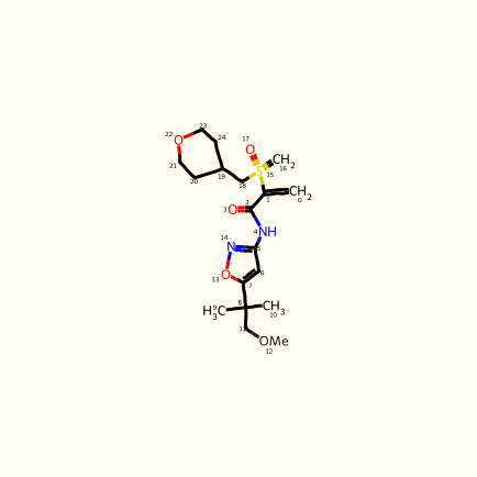 C=C(C(=O)Nc1cc(C(C)(C)COC)on1)S(=C)(=O)CC1CCOCC1